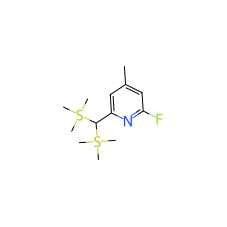 Cc1cc(F)nc(C(S(C)(C)C)S(C)(C)C)c1